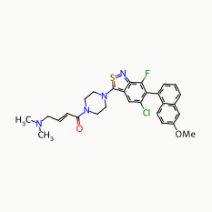 COc1ccc2c(-c3c(Cl)cc4c(N5CCN(C(=O)/C=C/CN(C)C)CC5)snc4c3F)cccc2c1